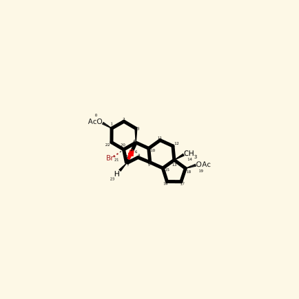 CC(=O)O[C@H]1CC[C@]23CO[C@H](CC4C2CC[C@@]2(C)C4CC[C@@H]2OC(C)=O)[C@@]3(Br)C1